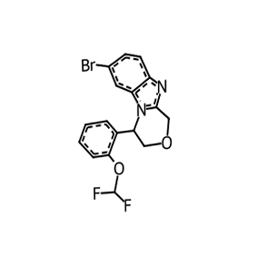 FC(F)Oc1ccccc1C1COCc2nc3ccc(Br)cc3n21